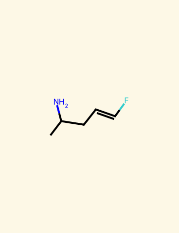 CC(N)CC=CF